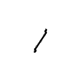 CC(I)CC(C)CC(C)CCCOCCCCCCCCOCCCCCCCCOCCCC(C)CC(C)CC(C)I